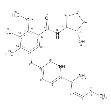 CN/C=C\C(N)C1=CC=C(Cc2cc(C(=O)NC3CCC[C@@H]3O)c(OC)c(C)c2C)CN1